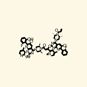 C=CC(=O)N1[C@H](C)CN(c2nc(=O)n(C(/C(C)=C\C)=C(N=C)\C(C)=C\C(=O)N3[C@H](C)CN(c4nc(=O)n([C@H]5C(C)=CC=N[C@H]5C(C)C)c5nc(-c6c(O)cccc6F)c(Cl)cc45)C[C@@H]3C)c3nc(-c4ccccc4F)c(Cl)cc23)C[C@@H]1C